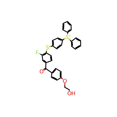 O=C(c1ccc(OCCO)cc1)c1ccc(Sc2ccc([S+](c3ccccc3)c3ccccc3)cc2)c(F)c1